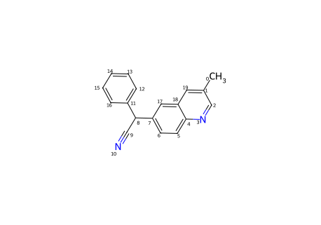 Cc1cnc2ccc(C(C#N)c3ccccc3)cc2c1